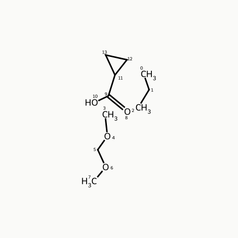 CCC.COCOC.O=C(O)C1CC1